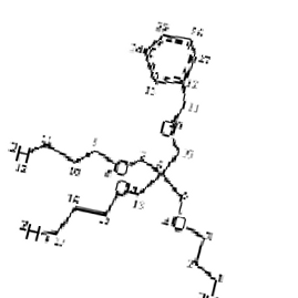 [2H]CCCOCC(COCCC[2H])(COCCC[2H])COCc1ccccc1